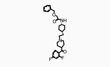 O=C(COCc1ccccc1)N[C@H]1CC[C@H](CCN2CCC(C(=O)c3ccc(F)cc3F)CC2)CC1